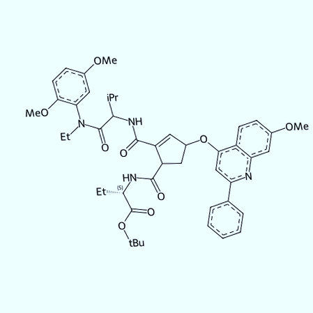 CC[C@H](NC(=O)C1CC(Oc2cc(-c3ccccc3)nc3cc(OC)ccc23)C=C1C(=O)NC(C(=O)N(CC)c1cc(OC)ccc1OC)C(C)C)C(=O)OC(C)(C)C